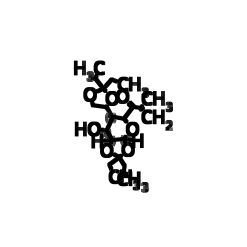 C=C(C)C(=O)C1O[C@@H]2OC(CC)(CC)O[C@@H]2[C@@H](O)[C@H]1C1COC(CC)(CC)O1